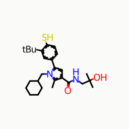 Cc1c(C(=O)NCC(C)(C)O)cc(-c2ccc(S)c(C(C)(C)C)c2)n1CC1CCCCC1